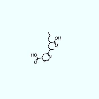 CCCC(CC(C)C1=NC=CC(C(=O)O)C1)C(=O)O